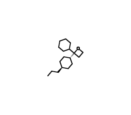 CCC[C@H]1CC[C@H](C2(C3CCCCC3)CCO2)CC1